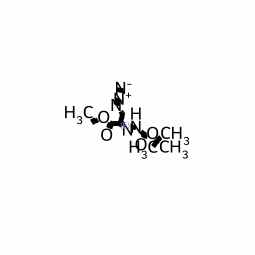 CCOC(=O)/C(CN=[N+]=[N-])=N/NC(=O)OC(C)(C)C